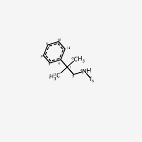 CC(C)(CNI)c1ccccc1